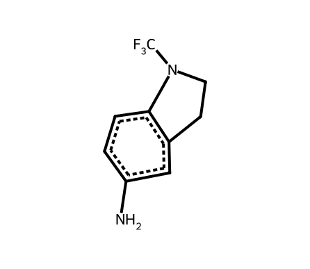 Nc1ccc2c(c1)CCN2C(F)(F)F